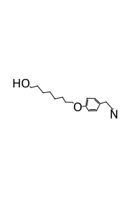 N#CCc1ccc(OCCCCCCCCO)cc1